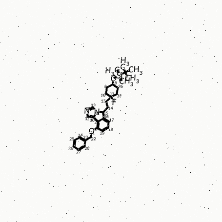 CC(C)(C)[Si](C)(C)OC1CCC(F)(CCC2c3cccc(OCc4ccccc4)c3-c3cncn32)CC1